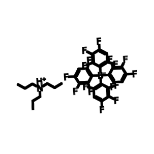 CCC[NH+](CCC)CCC.Fc1cc(F)c([B-](c2c(F)cc(F)c(F)c2F)(c2c(F)cc(F)c(F)c2F)c2c(F)cc(F)c(F)c2F)c(F)c1F